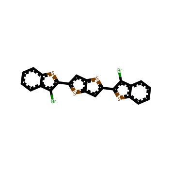 Brc1c(-c2cc3sc(-c4sc5ccccc5c4Br)cc3s2)sc2ccccc12